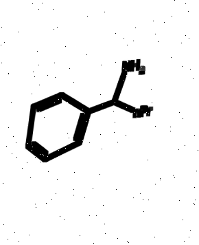 [CH2]CCC(N)c1ccccc1